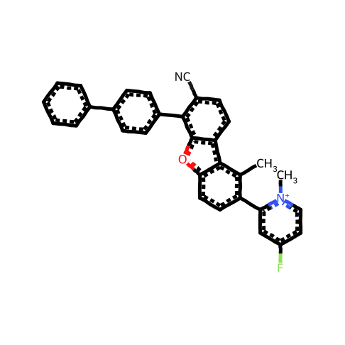 Cc1c(-c2cc(F)cc[n+]2C)ccc2oc3c(-c4ccc(-c5ccccc5)cc4)c(C#N)ccc3c12